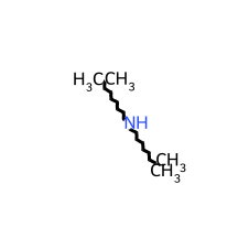 CC(C)CCCCCCCNCCCCCCCC(C)C